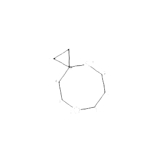 C1COCCC2(CC2)SC1